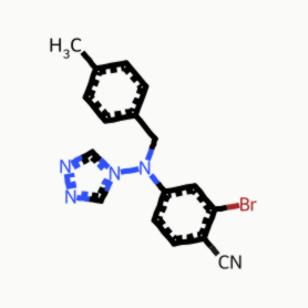 Cc1ccc(CN(c2ccc(C#N)c(Br)c2)n2cnnc2)cc1